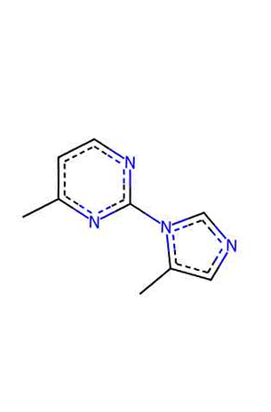 Cc1ccnc(-n2cncc2C)n1